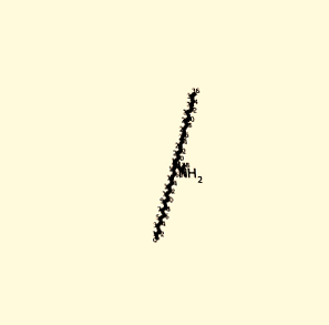 CCCCCCCCCCCCCCCCCCN(CCCCCCCCCCCCCCCCCC)C(C)N